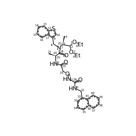 CCOC(OCC)[C@H](C)N(Cc1csc2ccccc12)C(=O)[C@H](C)NC(=O)CONC(=O)NCc1cccc2ccccc12